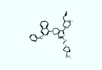 CN1CC[C@@H](COc2nc3c(c(N4CCNC(CC#N)C4)n2)CCN(c2cc(Oc4ccccc4)cc4ccccc24)C3)C1